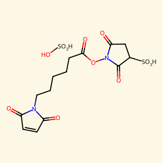 O=C(CCCCCN1C(=O)C=CC1=O)ON1C(=O)CC(S(=O)(=O)O)C1=O.O=S(=O)(O)O